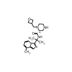 Cc1cccn2c(C(C)(C)NC(=O)[C@H]3CNCCN3CC3COC3)ncc12